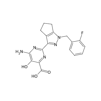 Nc1nc(-c2nn(Cc3ccccc3F)c3c2CCC3)nc(C(=O)O)c1O